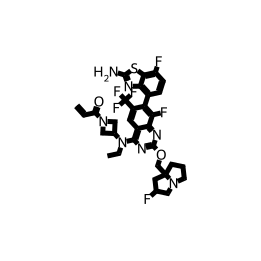 C=CC(=O)N1CC(N(CC)c2nc(OCC34CCCN3CC(F)C4)nc3c(F)c(-c4ccc(F)c5sc(N)nc45)c(C(F)(F)F)cc23)C1